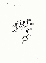 CCCCOC(=O)NC(C)(C)c1nc(O)c(O)c(C(=O)NCc2ccc(F)cc2)n1